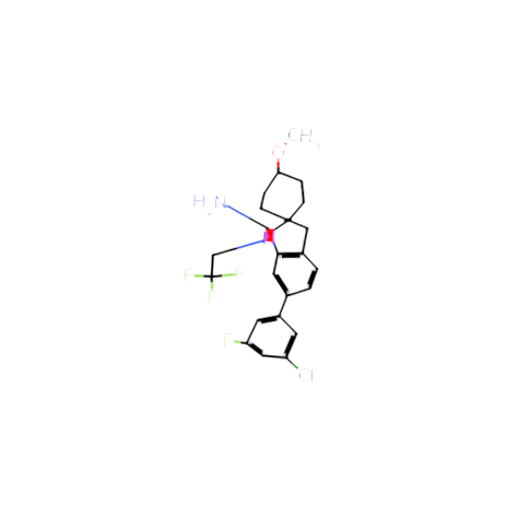 COC1CCC2(CC1)Cc1ccc(-c3cc(F)cc(Cl)c3)cc1C21CN(CC(F)(F)F)C(N)=N1